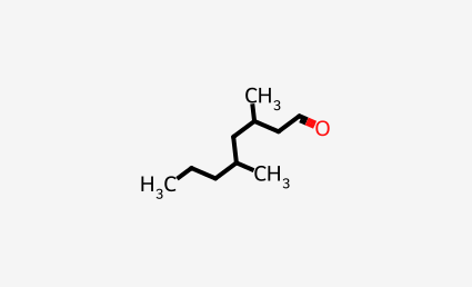 CCCC(C)CC(C)CC=O